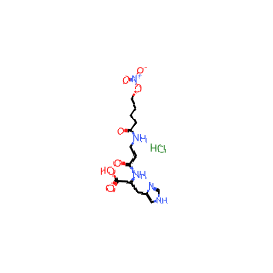 Cl.O=C(CCCCO[N+](=O)[O-])NCCC(=O)NC(Cc1c[nH]cn1)C(=O)O